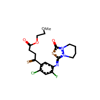 COCCOC(=O)CCC(=S)c1cc(N=c2sc(=O)n3n2CCCC3)c(F)cc1Cl